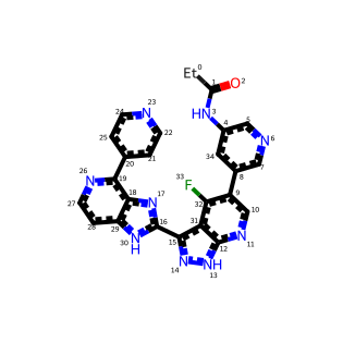 CCC(=O)Nc1cncc(-c2cnc3[nH]nc(-c4nc5c(-c6ccncc6)nccc5[nH]4)c3c2F)c1